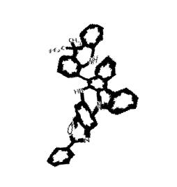 CC1(C)c2ccccc2Nc2c(-c3c4c5c(c6ccccc36)c3ccccc3n5-c3cc5nc(-c6ccccc6)oc5cc3B4)cccc21